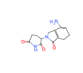 NC1=CCCC2=C1CN(C1CCC(=O)NC1=O)C2=O